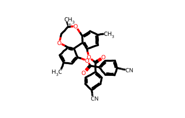 Cc1cc2c(c(OC(=O)c3ccc(C#N)cc3)c1)-c1c(OC(=O)c3ccc(C#N)cc3)cc(C)cc1O[C@H](C)CO2